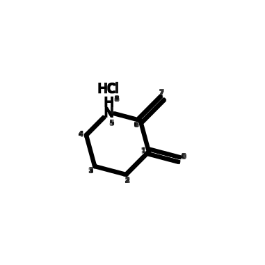 C=C1CCCNC1=C.Cl